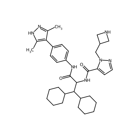 Cc1n[nH]c(C)c1-c1ccc(NC(=O)C(NC(=O)c2ccnn2CC2CNC2)C(C2CCCCC2)C2CCCCC2)cc1